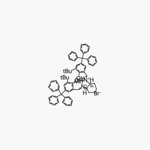 CC(C)(C)c1cc(C(c2ccccc2)(c2ccccc2)c2ccccc2)cc(C=[N+]2[Mn][N+](=Cc3cc(C(c4ccccc4)(c4ccccc4)c4ccccc4)cc(C(C)(C)C)c3O)[C@@H]3CCCC[C@H]32)c1O.[Br-]